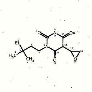 CCC(C)(C)CCN1C(=O)NC(=O)C(C2CO2)C1=O